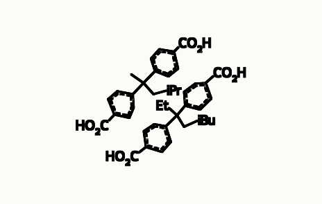 CC(C)CC(C)(c1ccc(C(=O)O)cc1)c1ccc(C(=O)O)cc1.CCC(C)CC(CC)(c1ccc(C(=O)O)cc1)c1ccc(C(=O)O)cc1